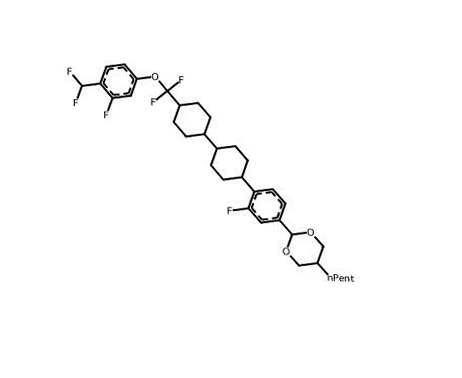 CCCCCC1COC(c2ccc(C3CCC(C4CCC(C(F)(F)Oc5ccc(C(F)F)c(F)c5)CC4)CC3)c(F)c2)OC1